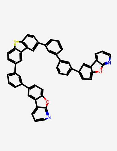 c1cc(-c2cccc(-c3ccc4sc5ccc(-c6cccc(-c7ccc8oc9ncccc9c8c7)c6)cc5c4c3)c2)cc(-c2ccc3oc4ncccc4c3c2)c1